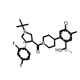 Cc1cc([C@H](C)O)c(C2CCN(C(=O)C3CN(C(C)(C)C)C[C@H]3c3ccc(F)cc3F)CC2)cc1Cl